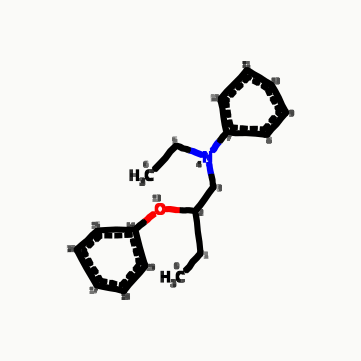 CCC(CN(CC)c1ccccc1)Oc1ccccc1